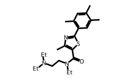 CCN(CC)CCN(CC)C(=O)c1sc(-c2cc(C)c(C)cc2C)nc1C